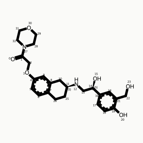 O=C(COc1ccc2c(c1)C[C@@H](NC[C@@H](O)c1ccc(O)c(CO)c1)CC2)N1CCOCC1